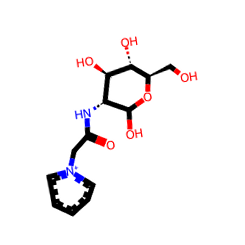 O=C(C[n+]1ccccc1)N[C@H]1C(O)O[C@H](CO)[C@@H](O)[C@@H]1O